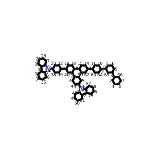 c1ccc(-c2cccc(-c3ccc(-c4ccc(-c5ccc(-c6ccc(-n7c8ccccc8c8ccccc87)cc6)cc5-c5ccc(-n6c7ccccc7c7ccccc76)cc5)cc4)cc3)c2)cc1